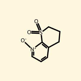 O=S1(=O)CCCc2ccc[n+]([O-])c21